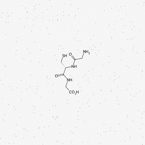 NCC(=O)N[C@@H](CS)C(=O)NCC(=O)O